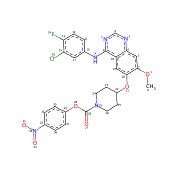 COc1cc2ncnc(Nc3ccc(F)c(Cl)c3)c2cc1OC1CCN(C(=O)Oc2ccc([N+](=O)[O-])cc2)CC1